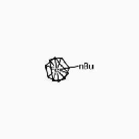 CCCC[C]12[CH]3[CH]4[CH]5[CH]1[Fe]45321678[CH]2[CH]1[CH]6[CH]7[CH]28